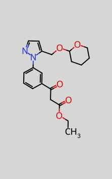 CCOC(=O)CC(=O)c1cccc(-n2nccc2COC2CCCCO2)c1